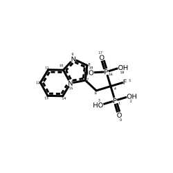 O=P(O)(O)C(F)(Cc1cnc2ccccn12)P(=O)(O)O